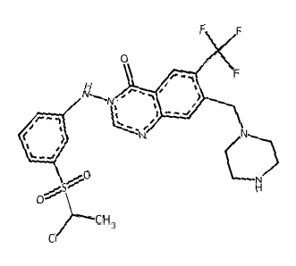 CC(Cl)S(=O)(=O)c1cccc(Nn2cnc3cc(CN4CCNCC4)c(C(F)(F)F)cc3c2=O)c1